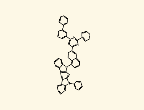 c1ccc(-c2cccc(-c3cc(-c4ccc5c(-n6c7ccccc7c7cc8c9ccccc9n(-c9ccccc9)c8cc76)cccc5c4)nc(-c4ccccc4)n3)c2)cc1